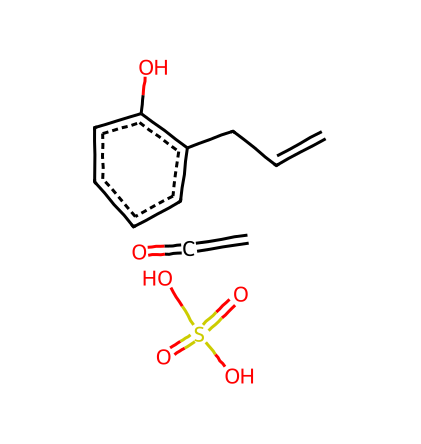 C=C=O.C=CCc1ccccc1O.O=S(=O)(O)O